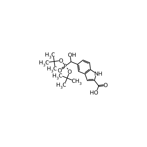 CC(C)(C)OP(=O)(OC(C)(C)C)C(O)c1ccc2[nH]c(C(=O)O)cc2c1